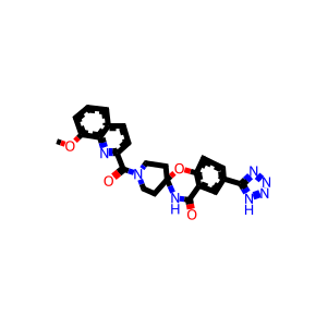 COc1cccc2ccc(C(=O)N3CCC4(CC3)NC(=O)c3cc(-c5nnn[nH]5)ccc3O4)nc12